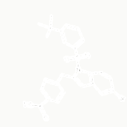 CC(C)(C)c1cccc(S(=O)(=O)n2c(Cc3ccc(C(=O)O)cc3)cc3cc(Br)ccc32)c1